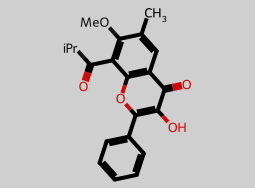 COc1c(C)cc2c(=O)c(O)c(-c3ccccc3)oc2c1C(=O)C(C)C